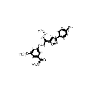 CCCON=C(COc1cc(C(=O)O)cc(C(=O)OC)c1)c1cc(-c2ccc(F)cc2)no1